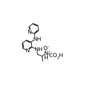 CC(CNc1ncccc1Nc1ccccn1)[NH+]([O-])C(=O)O